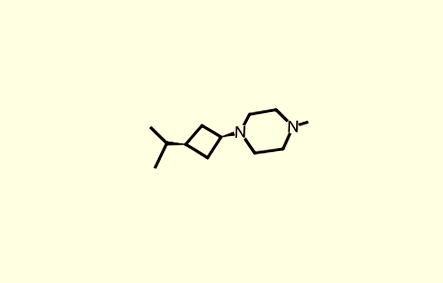 CC(C)[C@H]1C[C@@H](N2CCN(C)CC2)C1